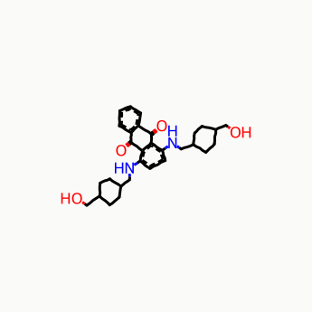 O=C1c2ccccc2C(=O)c2c(NCC3CCC(CO)CC3)ccc(NCC3CCC(CO)CC3)c21